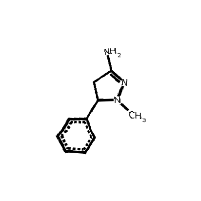 CN1N=C(N)CC1c1ccccc1